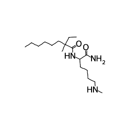 CCCCCCC(C)(CC)C(=O)NC(CCCCNC)C(N)=O